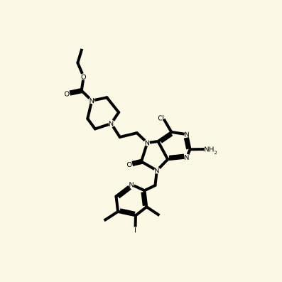 CCOC(=O)N1CCN(CCn2c(=O)n(Cc3ncc(C)c(I)c3C)c3nc(N)nc(Cl)c32)CC1